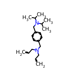 C=CCN(CC=C)Cc1ccc(CN(C(C)C)C(C)C)cc1